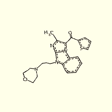 Cc1nc2n(CCN3CCOCC3)c3ccccc3n2c1C(=O)c1cccs1